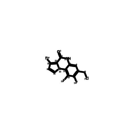 O=c1[nH]c2cc(CCl)c(F)c(F)c2n2ccc(F)c12